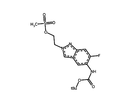 CC(C)(C)OC(=O)Nc1cc2cn(CCOS(C)(=O)=O)nc2cc1F